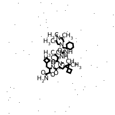 C[C@@H]1CN(CC2(NC(=O)N[C@H](C(=O)N3C[C@]4(C[C@H]3C(=O)NC(CC3CCC3)C(=O)C(N)=O)C(C)(C)C43CCC3)C(C)(C)C)CCCCC2)C[C@H](C)N1C